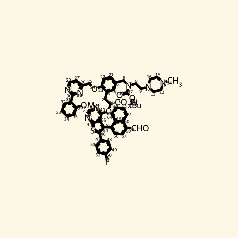 CCOC(=O)[C@@H](Cc1cc(CN(CCN2CCN(C)CC2)C(=O)OC(C)(C)C)ccc1OCc1ccnc(-c2ccccc2OC)n1)Oc1ncnc2sc(-c3ccc(F)cc3)c(-c3ccc(C=O)c4ccccc34)c12